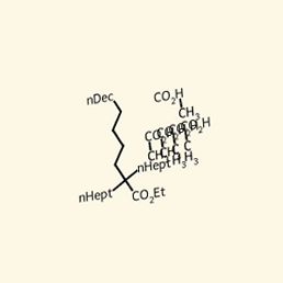 CC(=O)O.CC(=O)O.CC(=O)O.CC(=O)O.CC(=O)O.CCCCCCCCCCCCCCC(CCCCCCC)(CCCCCCC)C(=O)OCC